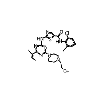 C/C=C(/C)c1nc(Nc2ncc(C(=O)Nc3c(C)cccc3Cl)s2)nc(N2CCN(CCO)CC2)n1